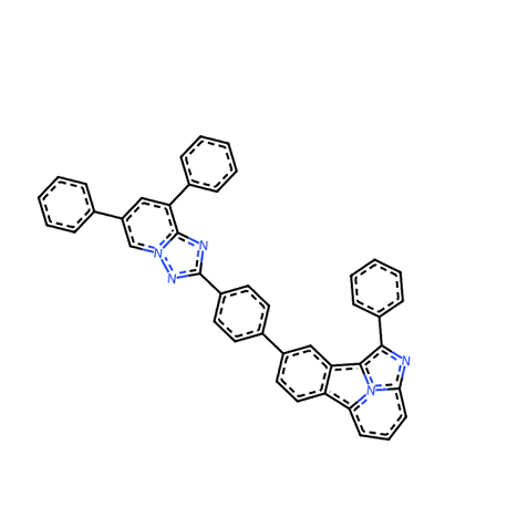 c1ccc(-c2cc(-c3ccccc3)c3nc(-c4ccc(-c5ccc6c(c5)c5c(-c7ccccc7)nc7cccc6n75)cc4)nn3c2)cc1